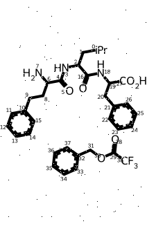 CC(C)CC(NC(=O)C(N)CCc1ccccc1)C(=O)NC(Cc1ccccc1)C(=O)O.O=C(OCc1ccccc1)C(F)(F)F